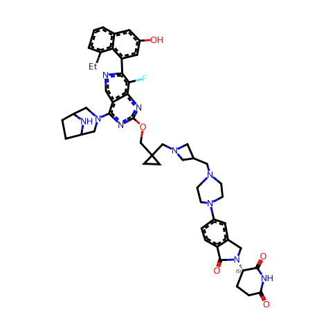 CCc1cccc2cc(O)cc(-c3ncc4c(N5CC6CCC(C5)N6)nc(OCC5(CN6CC(CN7CCN(c8ccc9c(c8)CN([C@H]8CCC(=O)NC8=O)C9=O)CC7)C6)CC5)nc4c3F)c12